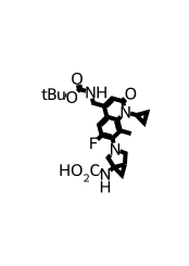 Cc1c(N2CC3CC3(NC(=O)O)C2)c(F)cc2c(CNC(=O)OC(C)(C)C)cc(=O)n(C3CC3)c12